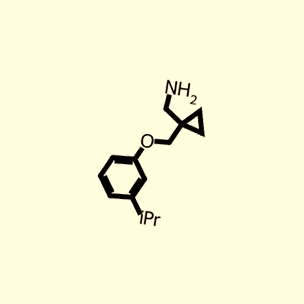 CC(C)c1cccc(OCC2(CN)CC2)c1